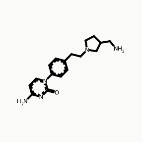 NCC1CCN(CCc2ccc(-n3ccc(N)nc3=O)cc2)C1